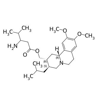 COc1cc2c(cc1OC)[C@H]1C[C@@H](COC(=O)CC(N)C(C)C)[C@H](CC(C)C)CN1CC2